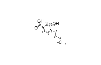 CCCCc1ccc(C(=O)O)cc1O